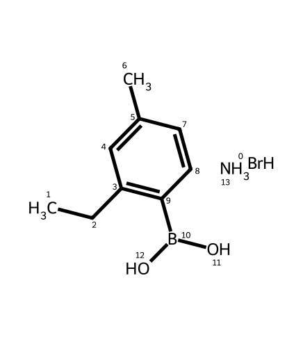 Br.CCc1cc(C)ccc1B(O)O.N